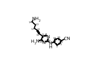 N#Cc1ccc(Nc2ncc(C#CCCCN)c(N)n2)cc1